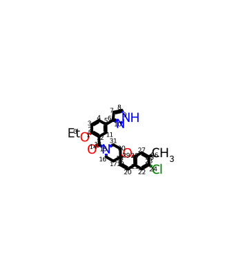 CCOc1ccc(-c2cc[nH]n2)cc1C(=O)N1CCC2(C=Cc3cc(Cl)c(C)cc3O2)CC1